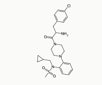 CS(=O)(=O)N(CC1CC1)c1ccccc1N1CCN(C(=O)C(N)Cc2ccc(Cl)cc2)CC1